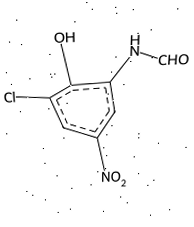 O=CNc1cc([N+](=O)[O-])cc(Cl)c1O